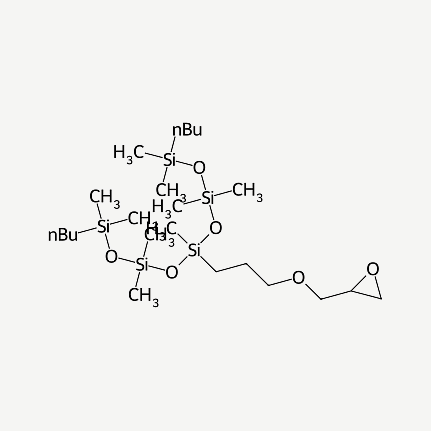 CCCC[Si](C)(C)O[Si](C)(C)O[Si](C)(CCCOCC1CO1)O[Si](C)(C)O[Si](C)(C)CCCC